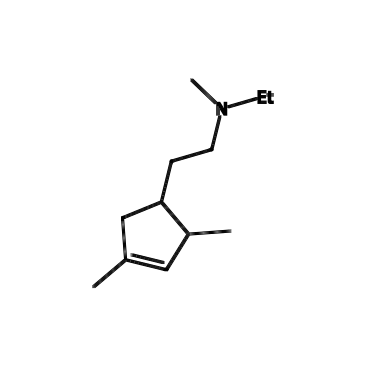 CCN(C)CCC1CC(C)=CC1C